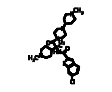 CN1CCC(N2CCN(C(=O)[C@@](C)(NC(=O)c3cc4ccc(Cl)cc4s3)C3CCN(C)CC3)CC2)CC1